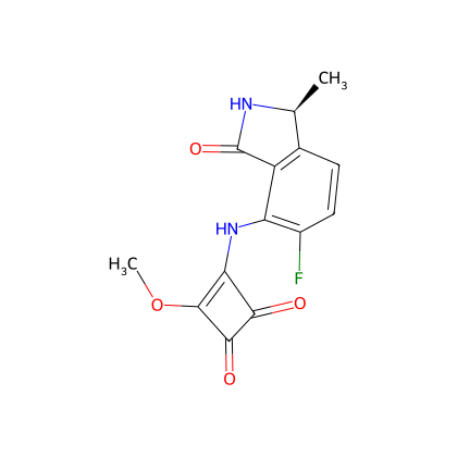 COc1c(Nc2c(F)ccc3c2C(=O)N[C@H]3C)c(=O)c1=O